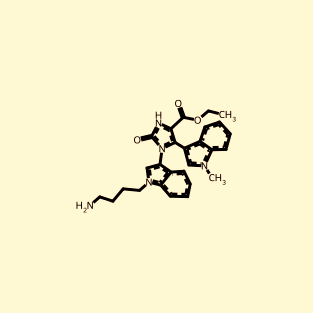 CCOC(=O)c1[nH]c(=O)n(-c2cn(CCCCN)c3ccccc23)c1-c1cn(C)c2ccccc12